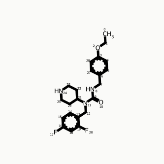 CCOc1ccc(CNC(=O)N(Cc2ccc(F)cc2F)C2CCNCC2)cc1